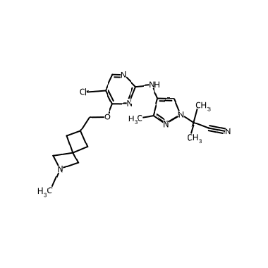 Cc1nn(C(C)(C)C#N)cc1Nc1ncc(Cl)c(OCC2CC3(C2)CN(C)C3)n1